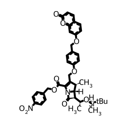 C[C@@H](O[SiH](C)C(C)(C)C)[C@H]1C(=O)N2C(C(=O)OCc3ccc([N+](=O)[O-])cc3)=C(COc3ccc(COc4ccc5ccc(=O)oc5c4)cc3)[C@H](C)[C@H]12